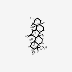 C[C@H]1[C@H](C)CC[C@]2(C)CC[C@]3(C)C(=CC(=O)[C@@H]4[C@@]5(C)CC[C@@H](O)C(C)(C(=O)O)C5CC[C@]43C)[C@H]12